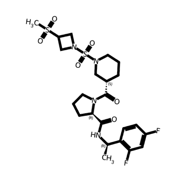 C[C@@H](NC(=O)[C@H]1CCCN1C(=O)[C@H]1CCCN(S(=O)(=O)N2CC(S(C)(=O)=O)C2)C1)c1ccc(F)cc1F